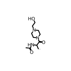 [CH2]C(NC(C)=O)C(=O)N1CCN(CCO)CC1